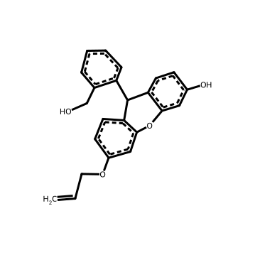 C=CCOc1ccc2c(c1)Oc1cc(O)ccc1C2c1ccccc1CO